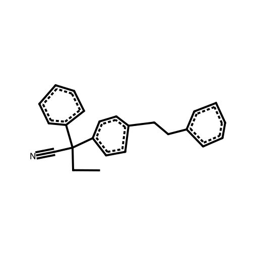 CCC(C#N)(c1ccccc1)c1ccc(CCc2ccccc2)cc1